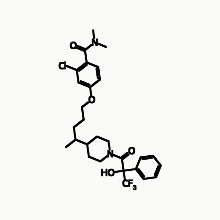 CC(CCCOc1ccc(C(=O)N(C)C)c(Cl)c1)C1CCN(C(=O)C(O)(c2ccccc2)C(F)(F)F)CC1